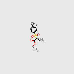 CCOC(=O)C(C)S(=O)(=O)c1ccc(C)cc1